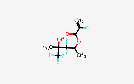 C=C(F)C(=O)OC(C)C(F)(F)C(C)(O)C(F)(F)F